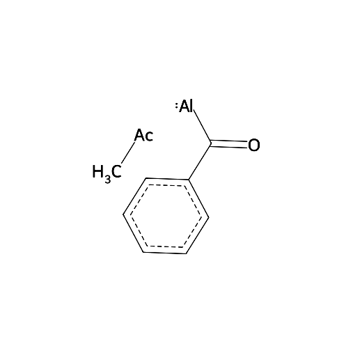 CC(C)=O.O=[C]([Al])c1ccccc1